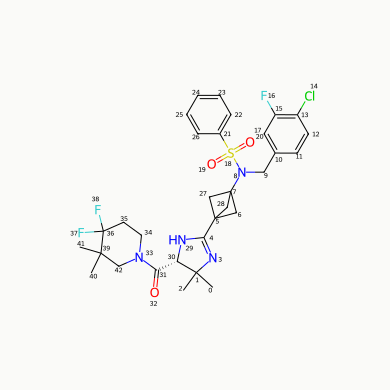 CC1(C)N=C(C23CC(N(Cc4ccc(Cl)c(F)c4)S(=O)(=O)c4ccccc4)(C2)C3)N[C@H]1C(=O)N1CCC(F)(F)C(C)(C)C1